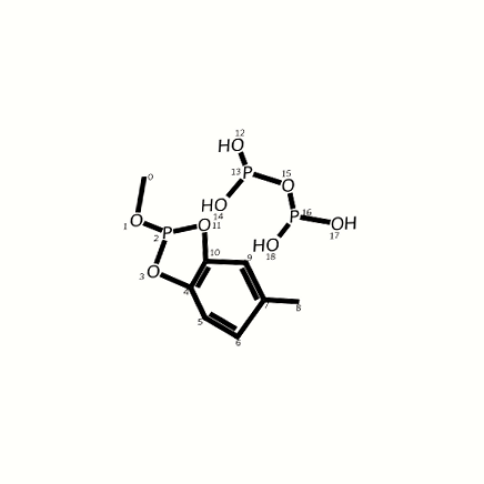 COP1Oc2ccc(C)cc2O1.OP(O)OP(O)O